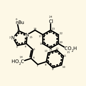 CCCCc1ncc(C=C(Cc2ccccc2)C(=O)O)n1Cc1ccc(C(=O)O)cc1Cl